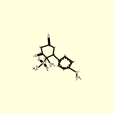 COc1ccc(C2CC(=O)CC(=O)C2(C)S(C)(=O)=O)cc1